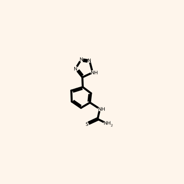 NC(=S)Nc1cccc(-c2nnn[nH]2)c1